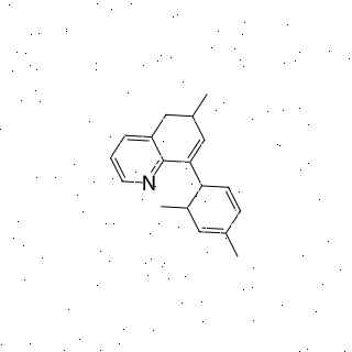 CC1=CC(C)C(C2=CC(C)Cc3cccnc32)C=C1